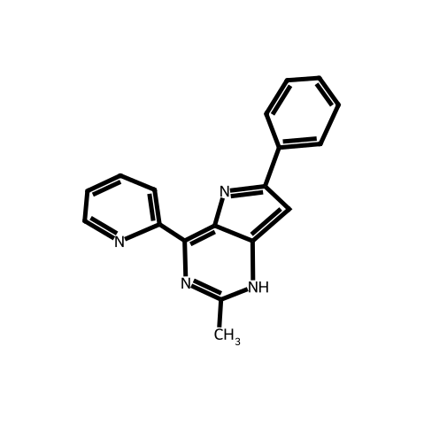 Cc1nc(-c2ccccn2)c2nc(-c3ccccc3)cc-2[nH]1